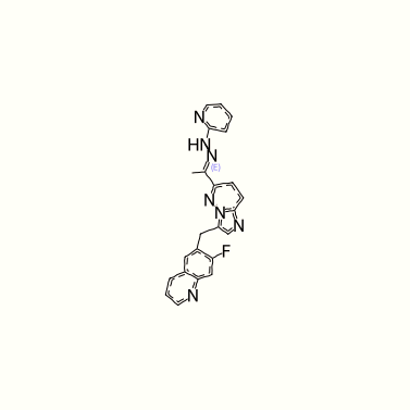 C/C(=N\Nc1ccccn1)c1ccc2ncc(Cc3cc4cccnc4cc3F)n2n1